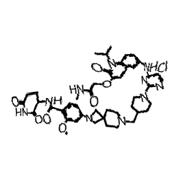 CNC(=O)COc1cc2cc(Nc3nc(N4CCC(CN5CCC6(CC5)CN(c5ccc(C(=O)NC7CCC(=O)NC7=O)c(OC)c5)C6)CC4)ncc3Cl)ccc2n(C(C)C)c1=O